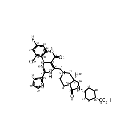 COC(=O)C1=C(CN2CCN3C(=O)N([C@H]4CC[C@@H](C(=O)O)CC4)C[C@@H]3C2)NC(c2nccs2)=N[C@H]1c1ccc(F)cc1Cl